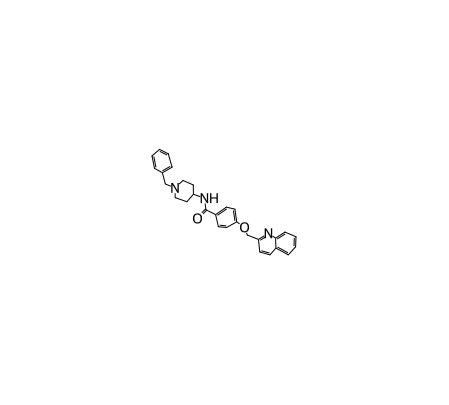 O=C(NC1CCN(Cc2ccccc2)CC1)c1ccc(OCc2ccc3ccccc3n2)cc1